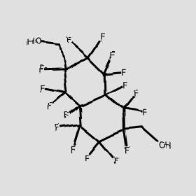 OCC1(F)C(F)(F)C(F)(F)C2(F)C(F)(F)C(F)(CO)C(F)(F)C(F)(F)C2(F)C1(F)F